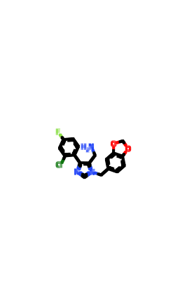 NCc1c(-c2ccc(F)cc2Cl)ncn1Cc1ccc2c(c1)OCO2